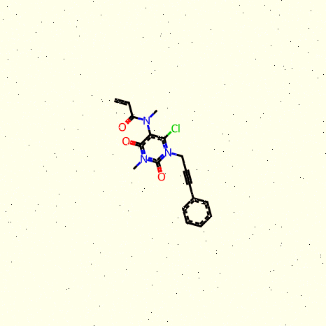 C=CC(=O)N(C)c1c(Cl)n(CC#Cc2ccccc2)c(=O)n(C)c1=O